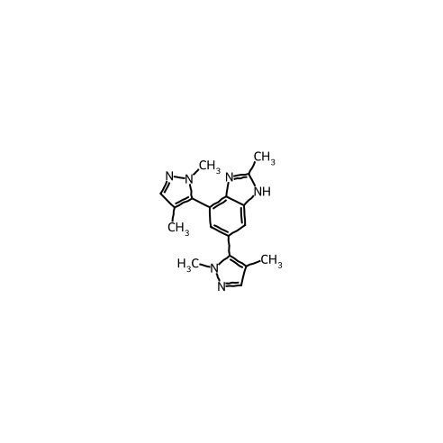 Cc1nc2c(-c3c(C)cnn3C)cc(-c3c(C)cnn3C)cc2[nH]1